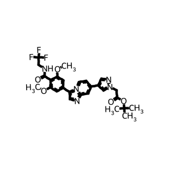 COc1cc(-c2cnc3cc(-c4cnn(CC(=O)OC(C)(C)C)c4)ccn23)cc(OC)c1C(=O)NCC(F)(F)F